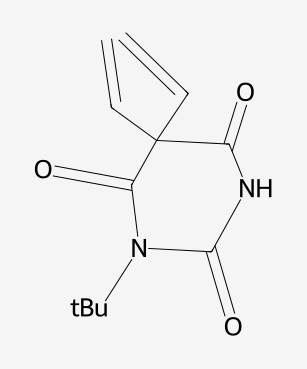 C=CC1(C=C)C(=O)NC(=O)N(C(C)(C)C)C1=O